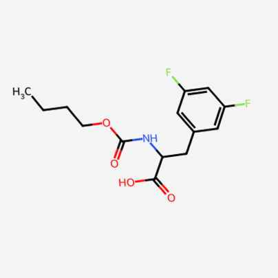 CCCCOC(=O)NC(Cc1cc(F)cc(F)c1)C(=O)O